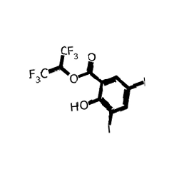 O=C(OC(C(F)(F)F)C(F)(F)F)c1cc(I)cc(I)c1O